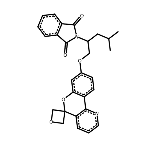 CC(C)CC(COc1ccc2c(c1)OC1(COC1)c1cccnc1-2)N1C(=O)c2ccccc2C1=O